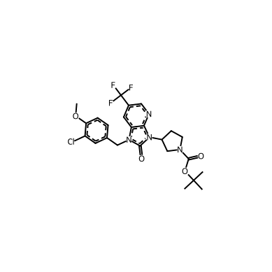 COc1ccc(Cn2c(=O)n(C3CCN(C(=O)OC(C)(C)C)C3)c3ncc(C(F)(F)F)cc32)cc1Cl